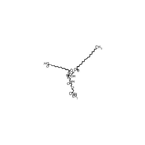 CCCCCCCCCCCCCCCCCC(=O)OC[C@H](COP(=O)(O)OCCNC(=O)CCOCCC(=O)NC)OC(=O)CCCCCCCCCCCC(=O)O